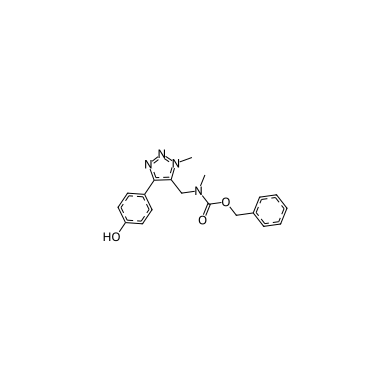 CN(Cc1c(-c2ccc(O)cc2)nnn1C)C(=O)OCc1ccccc1